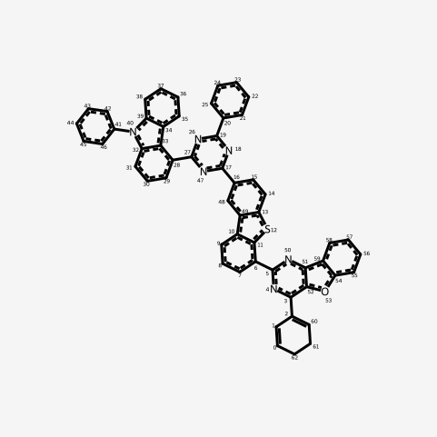 C1=CC(c2nc(-c3cccc4c3sc3ccc(-c5nc(-c6ccccc6)nc(-c6cccc7c6c6ccccc6n7-c6ccccc6)n5)cc34)nc3c2oc2ccccc23)=CCC1